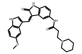 COc1ccc2[nH]cc(/C=C3\C(=O)Nc4ccc(NC(=O)CCN5CCCCC5)cc43)c2c1